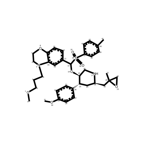 COCCCN1CCOc2ccc(C(O[C@H]3CN[C@@H](CC4(C)CO4)C[C@@H]3c3ccc(OC)cc3)S(=O)(=O)c3ccc(C)cc3)cc21